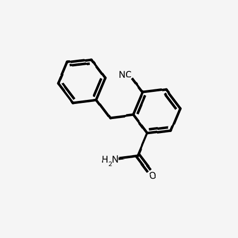 N#Cc1cccc(C(N)=O)c1Cc1ccccc1